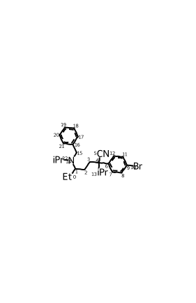 CCC(CCC(C#N)(c1ccc(Br)cc1)C(C)C)N(Cc1ccccc1)C(C)C